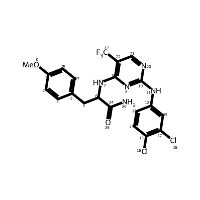 COc1ccc(CC(Nc2nc(Nc3ccc(Cl)c(Cl)c3)ncc2C(F)(F)F)C(N)=O)cc1